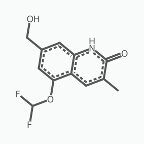 Cc1cc2c(OC(F)F)cc(CO)cc2[nH]c1=O